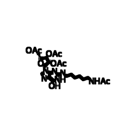 CC(=O)NCCCCCCNc1nc(O)c2ncn([C@@H]3O[C@H](COC(C)=O)C(OC(C)=O)[C@@H]3OC(C)=O)c2n1